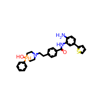 Nc1ccc(-c2cccs2)cc1NC(=O)c1ccc(CCN2CC[PH](O)(c3ccccc3)CC2)cc1